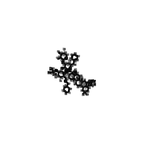 CC[Si](CC)(CC)OC1[C@H](OC2[C@H](O[C@H]3CCC4(C)C5CC=C6C7CC(C)(C)CC[C@]7(C(=O)O)C(OC)C[C@@]6(C)C5(C)CC[C@H]4[C@@]3(C)C=O)OC(Cc3ccccc3)[C@@H](C)[C@@H]2O[C@@H]2OC[C@@H](C)[C@H](C)C2C)OC(COCc2ccccc2)[C@H](C)[C@@H]1C